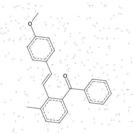 COc1ccc(/C=C/c2c(C)cccc2C(=O)c2ccccc2)cc1